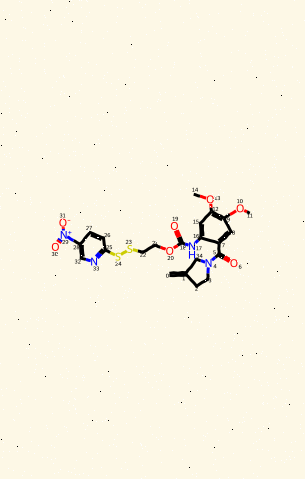 C=C1CCN(C(=O)c2cc(OC)c(OC)cc2NC(=O)OCCSSc2ccc([N+](=O)[O-])cn2)C1